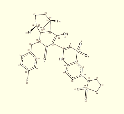 O=C1C(C2=NS(=O)(=O)c3cc(N4CCCS4(=O)=O)ccc3N2)=C(O)C2C([C@@H]3CC[C@H]2C3)N1Cc1ccc(F)cc1